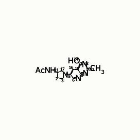 CC(=O)NC1CCN(c2cnc3nc(C)nc(O)c3c2)C1